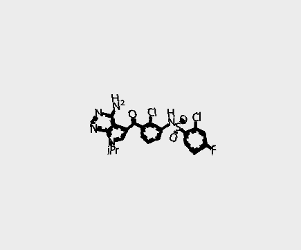 CC(C)n1cc(C(=O)c2cccc(NS(=O)(=O)c3ccc(F)cc3Cl)c2Cl)c2c(N)ncnc21